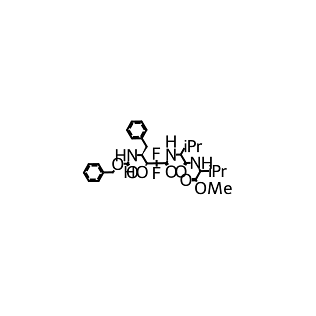 COC(=O)C(NC(=O)C(NC(=O)C(F)(F)[C@H](O)[C@H](Cc1ccccc1)NC(=O)OCc1ccccc1)C(C)C)C(C)C